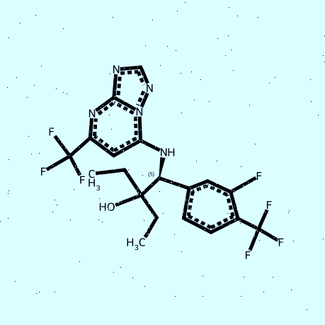 CCC(O)(CC)[C@@H](Nc1cc(C(F)(F)F)nc2ncnn12)c1ccc(C(F)(F)F)c(F)c1